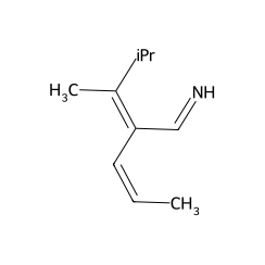 C/C=C\C(C=N)=C(/C)C(C)C